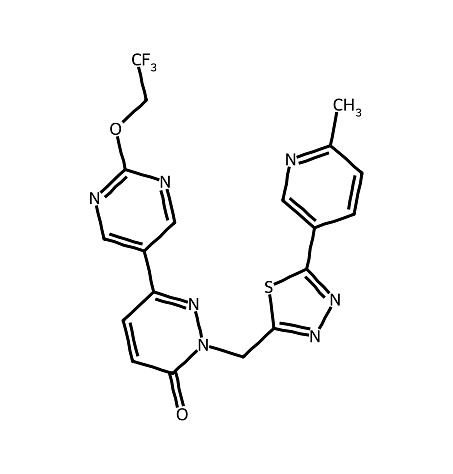 Cc1ccc(-c2nnc(Cn3nc(-c4cnc(OCC(F)(F)F)nc4)ccc3=O)s2)cn1